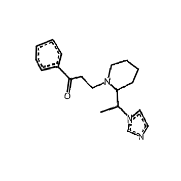 CC(C1CCCCN1CCC(=O)c1ccccc1)n1ccnc1